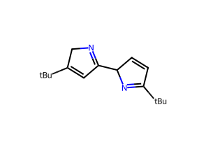 CC(C)(C)C1=CC(C2C=CC(C(C)(C)C)=N2)=NC1